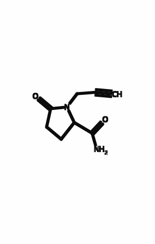 C#CCN1C(=O)CCC1C(N)=O